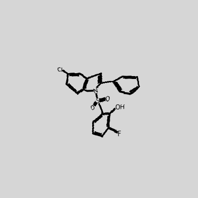 O=S(=O)(c1cccc(F)c1O)n1c(-c2ccccc2)cc2cc(Cl)ccc21